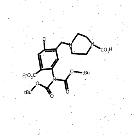 CCOC(=O)c1cc(Cl)c(CN2CCN(C(=O)O)CC2)cc1N(C(=O)OC(C)(C)C)C(=O)OC(C)(C)C